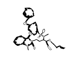 C=CCOC(=O)C(CCn1c(=O)c2ccccc2n(C)c1=O)N(C)S(=O)(=O)c1ccc(Oc2ccccc2)cc1